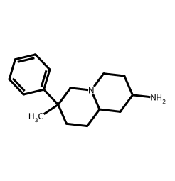 CC1(c2ccccc2)CCC2CC(N)CCN2C1